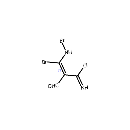 CCN/C(Br)=C(/C=O)C(=N)Cl